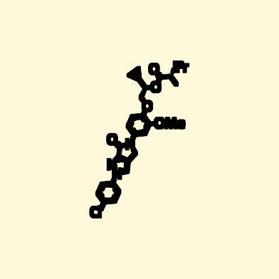 COc1cc(N2Cc3cn(-c4ccc(Cl)cc4)nc3C2=O)ccc1OC[C@H](OC(=O)[C@@H](C)C(C)C)C1CC1